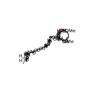 CO[C@H]1C[C@@H]2CC[C@@H](C)[C@@](O)(O2)C(=O)C(=O)N2CCCC[C@H]2C(=O)O[C@H]([C@H](N)C[C@@H]2CC[C@@H](OCc3cccc(-c4cnc(N5CCN(Cc6cn(CCOCCOCCOCCOCCC(=O)NCCCCn7nc(-c8ccc9oc(N)nc9c8)c8c(N)ncnc87)nn6)CC5)nc4)c3)[C@H](OC)C2)CC(=O)[C@H](C)/C=C(\C)[C@@H](O)[C@@H](OC)C(=O)[C@H](C)C[C@H](C)/C=C/C=C/C=C/1C